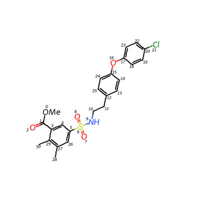 COC(=O)c1cc(S(=O)(=O)NCCc2ccc(Oc3ccc(Cl)cc3)cc2)cc(C)c1C